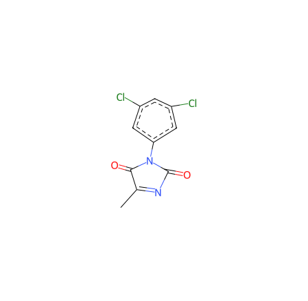 CC1=NC(=O)N(c2cc(Cl)cc(Cl)c2)C1=O